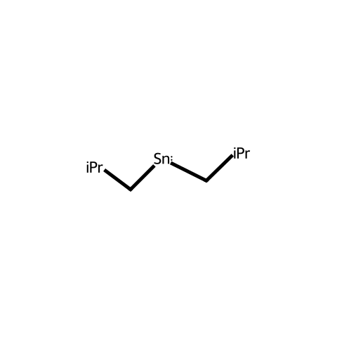 CC(C)[CH2][Sn][CH2]C(C)C